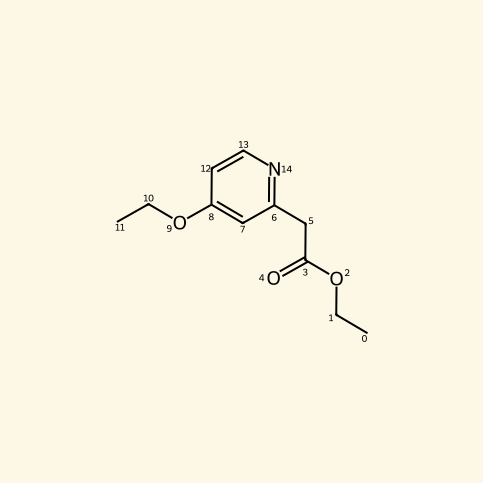 CCOC(=O)Cc1cc(OCC)ccn1